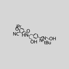 CC(C)Oc1ccc(C(=O)NC(CCO)Cc2ccc(-c3cn(CCO)c(C(C)(C)C)n3)cc2)cc1C#N